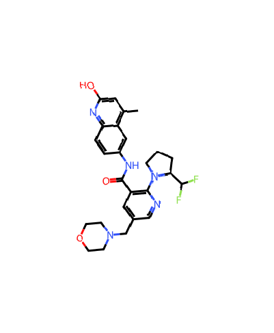 Cc1cc(O)nc2ccc(NC(=O)c3cc(CN4CCOCC4)cnc3N3CCCC3C(F)F)cc12